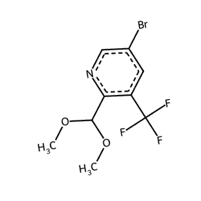 COC(OC)c1ncc(Br)cc1C(F)(F)F